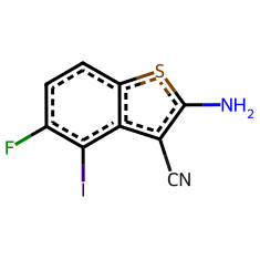 N#Cc1c(N)sc2ccc(F)c(I)c12